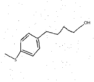 CSc1ccc(CCCCO)cc1